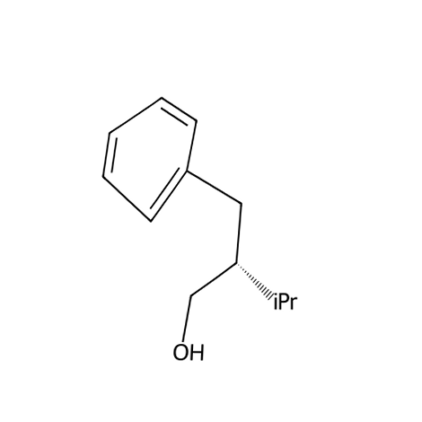 CC(C)[C@H](CO)Cc1ccccc1